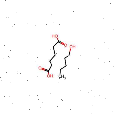 CCCCCO.O=C(O)CCCCC(=O)O